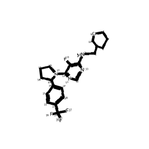 Fc1c(NCC2CCCOC2)ncnc1N1CCCC1c1ccc(C(F)(F)F)cc1